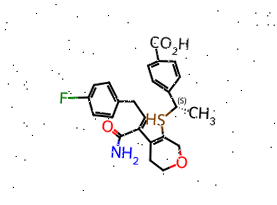 C[C@@H](c1ccc(C(=O)O)cc1)[SH]1C2=C(CCOC2)C(C(N)=O)=C1Cc1ccc(F)cc1